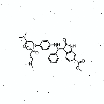 COC(=O)c1ccc2c(c1)NC(=O)/C2=C(\Nc1ccc(N(CC(=O)N(C)C)S(=O)(=O)CCN(C)C)cc1)c1ccccc1